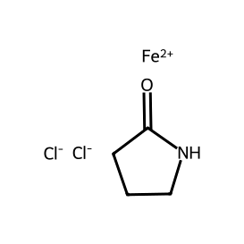 O=C1CCCN1.[Cl-].[Cl-].[Fe+2]